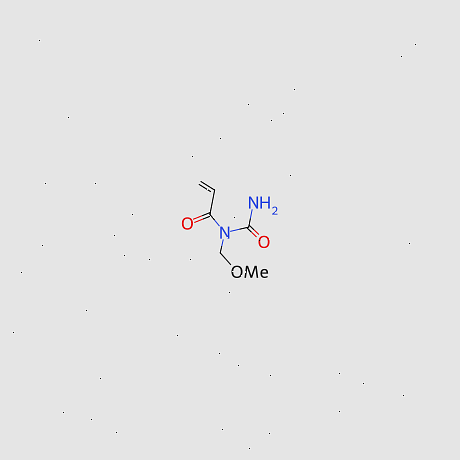 C=CC(=O)N(COC)C(N)=O